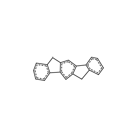 [C]1c2ccccc2-c2cc3c(cc21)-c1ccccc1C3